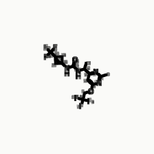 Cc1nc(OCC(F)(F)F)cc(C(C)NC(=O)NC23CC(C(F)(F)F)(C2)C3)n1